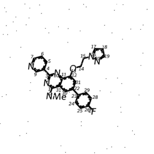 CNc1nc(-c2cccnc2)nc2c(OCCn3cccn3)cc(-c3ccc(F)cc3)cc12